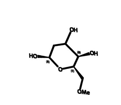 COC[C@H]1O[C@@H](O)CC(O)[C@H]1O